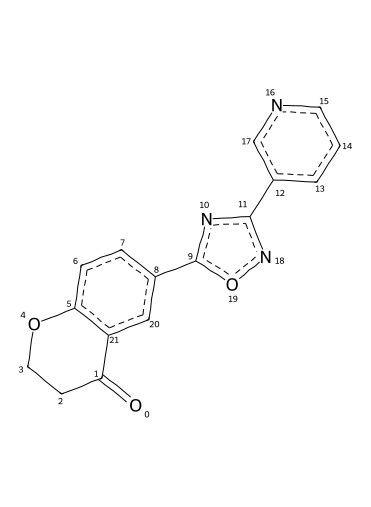 O=C1CCOc2ccc(-c3nc(-c4cccnc4)no3)cc21